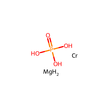 O=P(O)(O)O.[Cr].[MgH2]